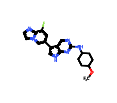 Fc1cc(-c2c[nH]c3nc(NC4CCC(OC(F)(F)F)CC4)ncc23)cn2ccnc12